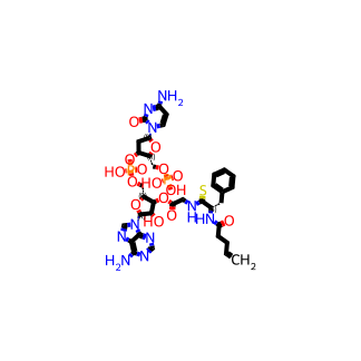 C=CCCC(=O)N[C@@H](Cc1ccccc1)C(=S)NCC(=O)OC1C(O)[C@H](n2cnc3c(N)ncnc32)O[C@@H]1COP(=O)(O)OC1C[C@H](n2ccc(N)nc2=O)O[C@@H]1COP(=O)(O)O